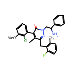 COc1cccc(-c2c(C)c(Cc3c(F)cccc3C(F)(F)F)nn(CC(N)c3ccccc3)c2=O)c1Cl